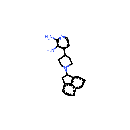 Nc1nccc(C2CCN(C3Cc4cccc5cccc3c45)CC2)c1N